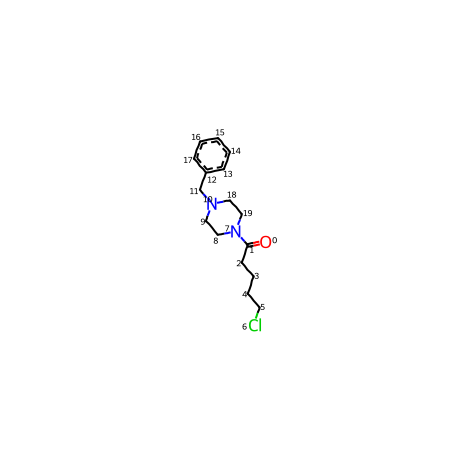 O=C(CCCCCl)N1CCN(Cc2ccccc2)CC1